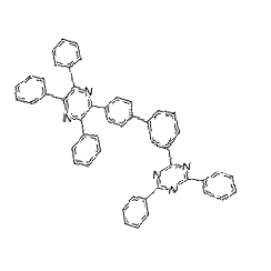 c1ccc(-c2nc(-c3ccccc3)nc(-c3cccc(-c4ccc(-c5nc(-c6ccccc6)c(-c6ccccc6)nc5-c5ccccc5)cc4)c3)n2)cc1